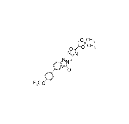 CC1(C)OC[C@H](c2nc(Cn3nc4ccc(-c5ccc(OC(F)(F)F)cc5)cn4c3=O)no2)O1